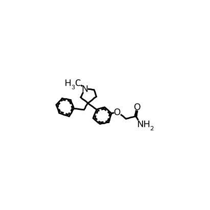 CN1CCC(Cc2ccccc2)(c2cccc(OCC(N)=O)c2)C1